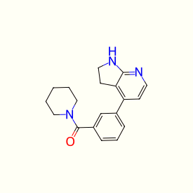 O=C(c1cccc(-c2ccnc3c2CCN3)c1)N1CCCCC1